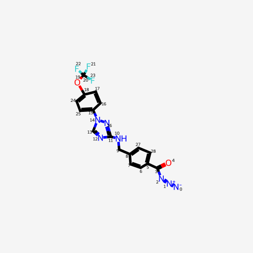 [N-]=[N+]=NC(=O)c1ccc(CNc2ncn(-c3ccc(OC(F)(F)F)cc3)n2)cc1